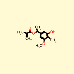 C=C(C)C(=O)OC(C)c1cc(O)c(C)c(OC)c1